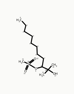 CCCCCCCCC(OS(C)(=O)=O)C(C)(C)O